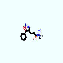 CCNC(=O)CCc1cnoc1-c1ccccc1